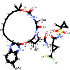 CC[C@@H]1[C@@H]2CN(C(=O)[C@H](C(C)(C)C)NC(=O)OC(C)(C)CCCCCCCc3nc4ccc(OC)cc4nc3O2)[C@@H]1C(=O)N[C@]1(C(=O)NS(=O)(=O)C2(C)CC2)C[C@H]1C(F)F